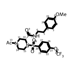 COc1ccc(CCNC(=O)[C@H]2CN(C(C)=O)CCN2S(=O)(=O)c2ccc(OC(F)(F)F)cc2)cc1